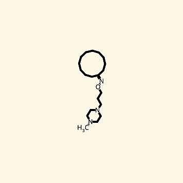 CN1CCN(CCCON=C2CCCCCCCCCCC2)CC1